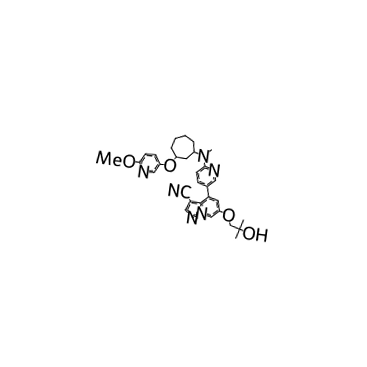 COc1ccc(OC2CCCCC(N(C)c3ccc(-c4cc(OCC(C)(C)O)cn5ncc(C#N)c45)cn3)C2)cn1